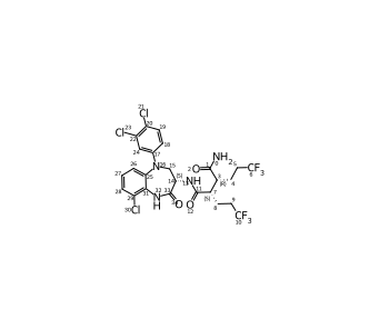 NC(=O)[C@H](CCC(F)(F)F)[C@H](CCC(F)(F)F)C(=O)N[C@H]1CN(c2ccc(Cl)c(Cl)c2)c2cccc(Cl)c2NC1=O